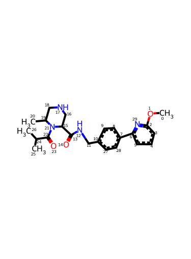 COc1cccc(-c2ccc(CNC(=O)C3CNCC(C)N3C(=O)C(C)C)cc2)n1